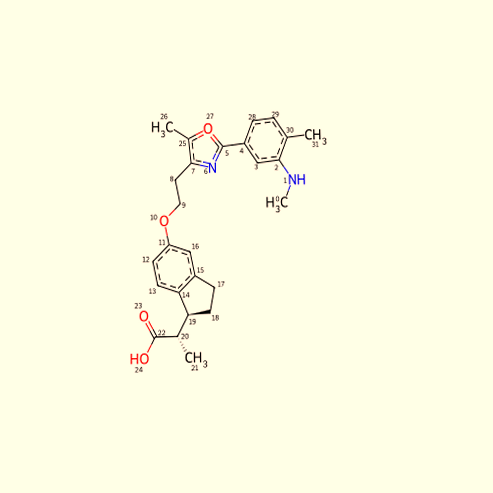 CNc1cc(-c2nc(CCOc3ccc4c(c3)CC[C@H]4[C@H](C)C(=O)O)c(C)o2)ccc1C